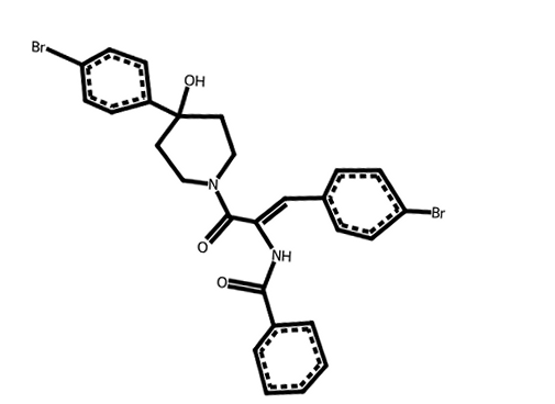 O=C(N/C(=C\c1ccc(Br)cc1)C(=O)N1CCC(O)(c2ccc(Br)cc2)CC1)c1ccccc1